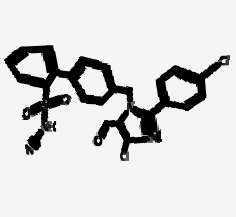 N#CNS(=O)(=O)c1ccccc1-c1ccc(Cn2c(-c3ccc(Cl)cc3)nc(Cl)c2C=O)cc1